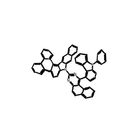 c1ccc(-n2c3ccccc3c3c(-c4nc(-n5c6cc7ccccc7cc6c6c7c8ccccc8c8ccccc8c7ccc65)nc5ccc6ccccc6c45)cccc32)cc1